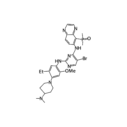 CCc1cc(Nc2ncc(Br)c(Nc3ccc4nccnc4c3P(C)(C)=O)n2)c(OC)cc1N1CCC(N(C)C)CC1